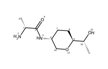 C[C@@H](N)C(=O)N[C@@H]1CC[C@@H]([C@@H](C)O)OC1